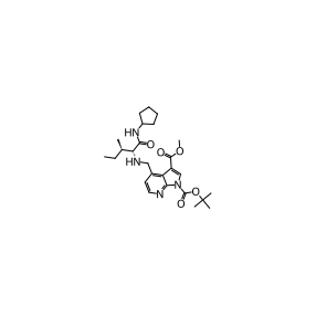 CC[C@@H](C)[C@@H](NCc1ccnc2c1c(C(=O)OC)cn2C(=O)OC(C)(C)C)C(=O)NC1CCCC1